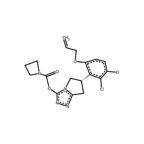 C=CCOc1ccc(Cl)c(Cl)c1[C@@H]1Cc2nnc(OC(=O)N3CCC3)n2C1